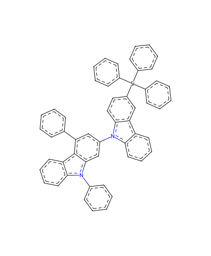 c1ccc(-c2cc(-n3c4ccccc4c4cc([Si](c5ccccc5)(c5ccccc5)c5ccccc5)ccc43)cc3c2c2ccccc2n3-c2ccccc2)cc1